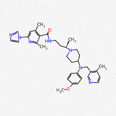 COc1ccc(N(Cc2cnccc2C)C2CCN([C@H](C)CCNC(=O)c3c(C)cc(-n4ccnc4)nc3C)CC2)cc1